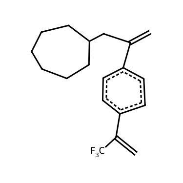 C=C(CC1CCCCCC1)c1ccc(C(=C)C(F)(F)F)cc1